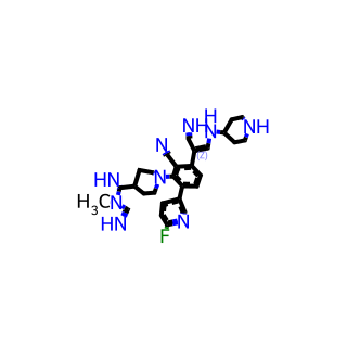 CN(C=N)C(=N)C1CCN(c2c(-c3ccc(F)nc3)ccc(/C(C=N)=C/NC3CCNCC3)c2C#N)CC1